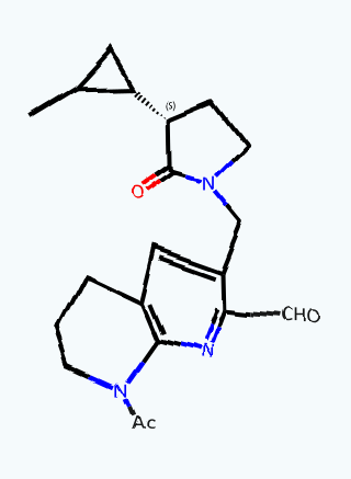 CC(=O)N1CCCc2cc(CN3CC[C@@H](C4CC4C)C3=O)c(C=O)nc21